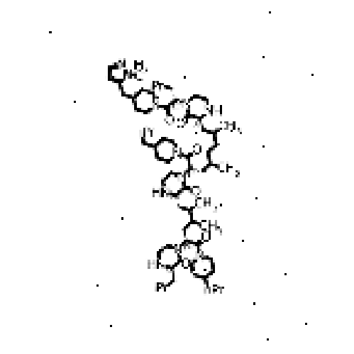 CCCC1CCN(C(=O)[C@H](CC(C)C(C)C[C@@H]2NCCN([C@@H](CC(C)CCC(C)C[C@@H]3NCCN([C@@H](CC(C)C)C(=O)N4CCC(Cc5ccnn5C)CC4)C3=O)C(=O)N3CCC(CC(C)C)CC3)C2=O)N2CCN[C@@H](CC(C)C)C2=O)CC1